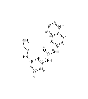 Cc1cc(NCCN)nc(NC(=O)Nc2ccc3ncccc3c2)n1